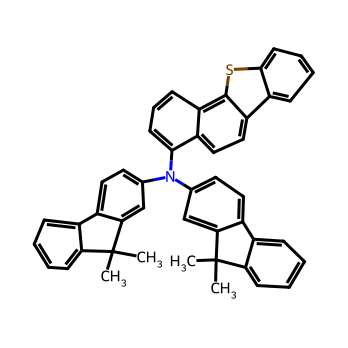 CC1(C)c2ccccc2-c2ccc(N(c3ccc4c(c3)C(C)(C)c3ccccc3-4)c3cccc4c3ccc3c5ccccc5sc43)cc21